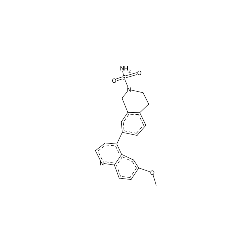 COc1ccc2nccc(-c3ccc4c(c3)CN(S(N)(=O)=O)CC4)c2c1